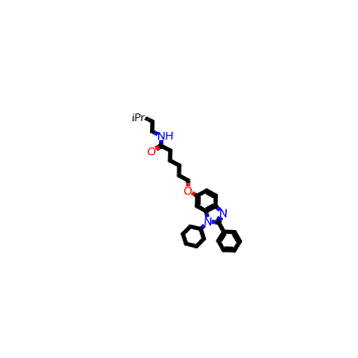 CC(C)CCNC(=O)CCCCCOc1ccc2nc(-c3ccccc3)n(C3CCCCC3)c2c1